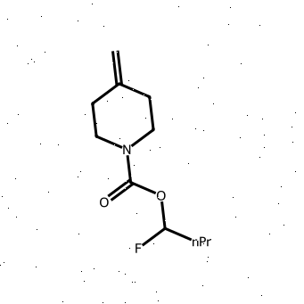 C=C1CCN(C(=O)OC(F)CCC)CC1